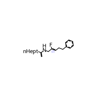 C=C(CCCCCCC)NC/C(F)=C/CCc1ccccc1